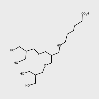 O=C(O)CCCCCNCC(COCC(CO)CO)COCC(CO)CO